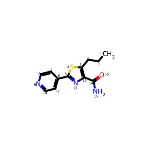 CCCc1sc(-c2ccncc2)nc1C(N)=O